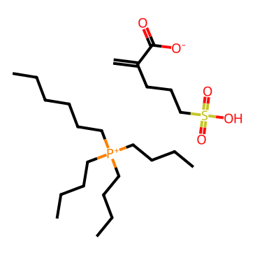 C=C(CCCS(=O)(=O)O)C(=O)[O-].CCCCCC[P+](CCCC)(CCCC)CCCC